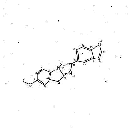 COc1ccc2c(c1)sc1nc(-c3ccc4occc4c3)cn12